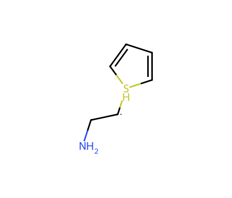 NC[CH][SH]1C=CC=C1